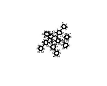 Cc1cc(-c2ccccc2)ccc1N1c2cc(N(c3ccccc3)c3ccccc3)ccc2B2c3c1cc1ccccc1c3-c1ccc(-c3ccccc3)cc1N2c1ccc(-c2ccccc2)cc1